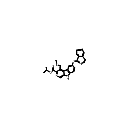 COCc1c(C(=O)OC(C)C)ncc2[nH]c3ccc(Oc4nccc5ccccc45)cc3c12